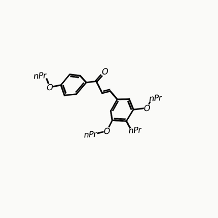 CCCOc1ccc(C(=O)C=Cc2cc(OCCC)c(CCC)c(OCCC)c2)cc1